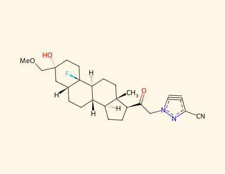 COC[C@@]1(O)CC[C@@]2(F)[C@H](CC[C@H]3[C@@H]4CC[C@H](C(=O)Cn5c#cc(C#N)n5)[C@@]4(C)CC[C@@H]32)C1